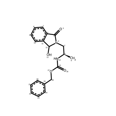 C[C@H](CN1C(=O)c2ccccc2C1O)NC(=O)OCc1ccccc1